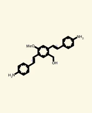 COc1cc(/C=C/c2ccc(N)cc2)c(CO)cc1/C=C/c1ccc(N)cc1